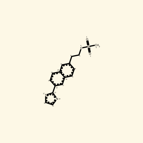 CS(=O)(=O)OCCc1ccc2cc(-c3nccs3)ccc2c1